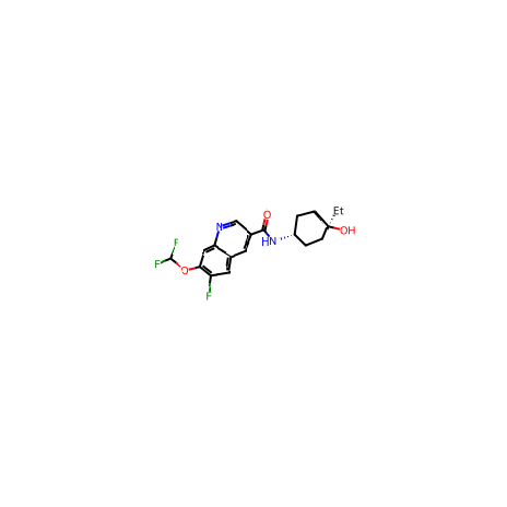 CC[C@]1(O)CC[C@H](NC(=O)c2cnc3cc(OC(F)F)c(F)cc3c2)CC1